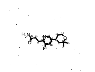 CC1(C)CC(c2cnc(CCC(N)=O)c(F)c2)CCO1